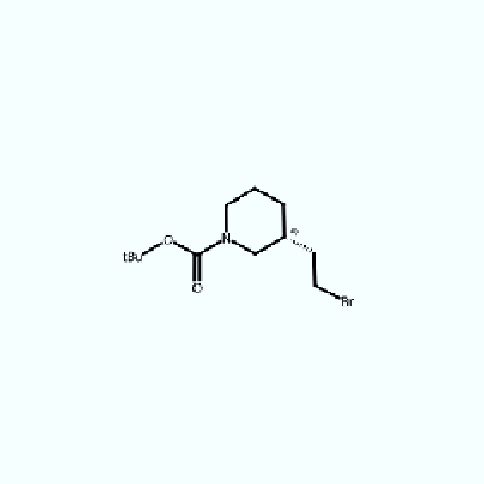 CC(C)(C)OC(=O)N1CCC[C@H](CCBr)C1